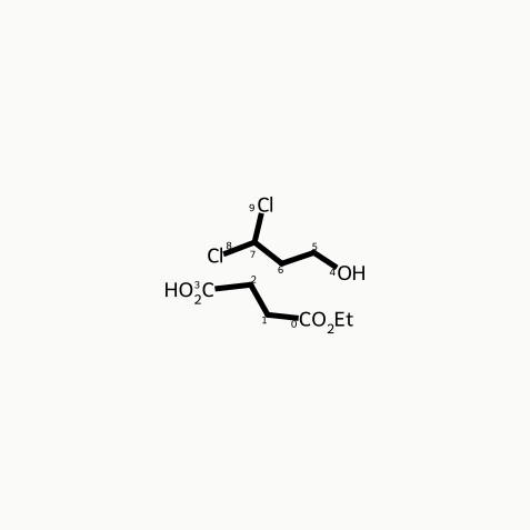 CCOC(=O)CCC(=O)O.OCCC(Cl)Cl